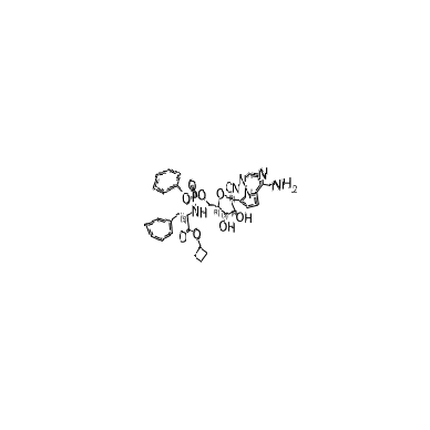 N#C[C@@]1(c2ccc3c(N)ncnn23)O[C@H](CO[P@](=O)(N[C@@H](Cc2ccccc2)C(=O)OC2CCC2)Oc2ccccc2)[C@@H](O)[C@H]1O